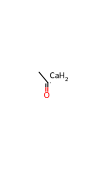 C[C]=O.[CaH2]